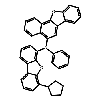 c1ccc(N(c2cc3c4ccccc4oc3c3ccccc23)c2cccc3c2oc2c(C4CCCC4)cccc23)cc1